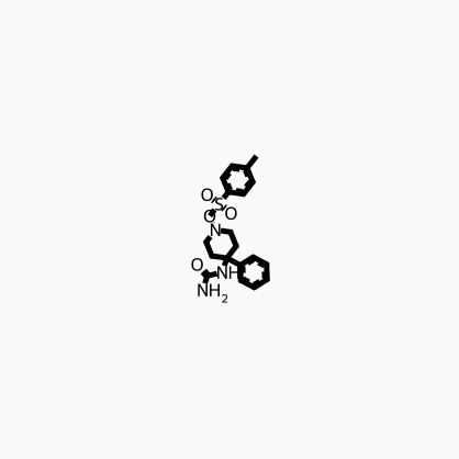 Cc1ccc(S(=O)(=O)ON2CCC(NC(N)=O)(c3ccccc3)CC2)cc1